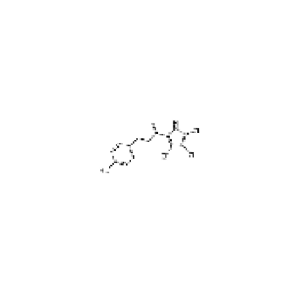 O=C(CCc1ccc(O)cc1)c1[nH]c(Cl)c(Cl)c1Cl